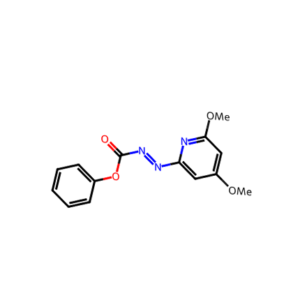 COc1cc(N=NC(=O)Oc2ccccc2)nc(OC)c1